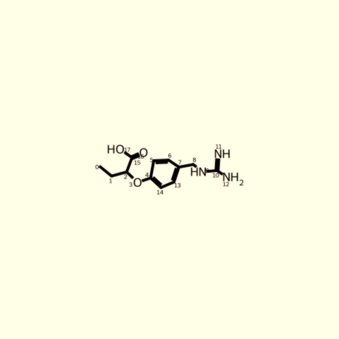 CCC(Oc1ccc(CNC(=N)N)cc1)C(=O)O